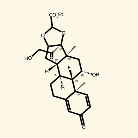 CCOC(=O)C1OC2C[C@H]3[C@@H]4CCC5=CC(=O)C=C[C@]5(C)[C@@]4(F)[C@@H](O)C[C@]3(C)[C@]2(C(=O)CO)O1